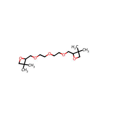 CC1(C)COC1COCCOCCOCC1OCC1(C)C